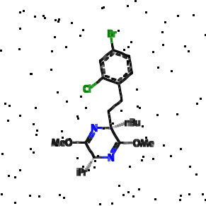 CCCC[C@@]1(CCc2ccc(Br)cc2Cl)N=C(OC)[C@@H](C(C)C)N=C1OC